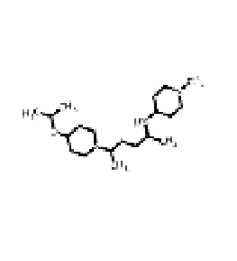 CC(CCC(C)N1CCC(OC(C)C)CC1)NC1CCN(C)CC1